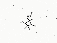 CC1(C)C(O)C(C)(C)C1O.CCO